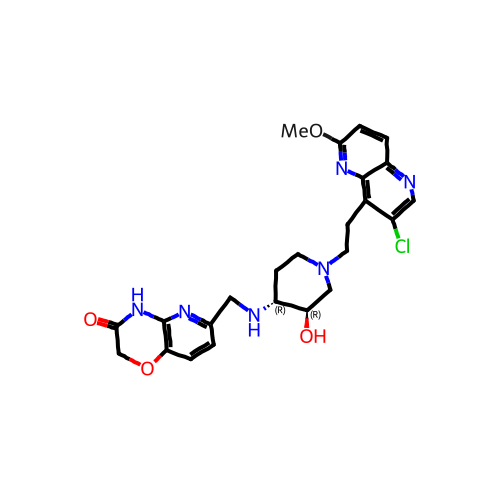 COc1ccc2ncc(Cl)c(CCN3CC[C@@H](NCc4ccc5c(n4)NC(=O)CO5)[C@H](O)C3)c2n1